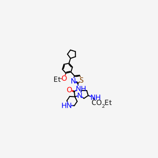 CCOC(=O)NC1CCN(C2(C(=O)Nc3nc(-c4cc(C5CCCC5)ccc4OCC)cs3)CCNCC2)C1